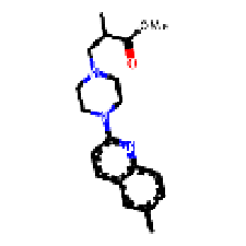 COC(=O)C(C)CN1CCN(c2ccc3cc(C)ccc3n2)CC1